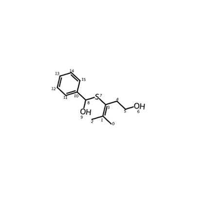 CC(C)=C(CCO)SC(O)c1ccccc1